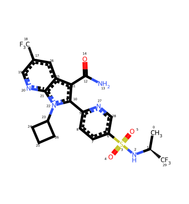 C[C@H](NS(=O)(=O)c1ccc(-c2c(C(N)=O)c3cc(C(F)(F)F)cnc3n2C2CCC2)nc1)C(F)(F)F